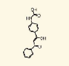 O=C(O)Nc1ccc(C(O)=CC(=O)c2ccccc2)cc1